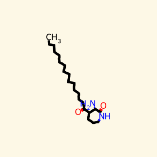 CCCCCCCCCCCCCCCC(=O)C1CCCNC(=O)[C@@H]1N